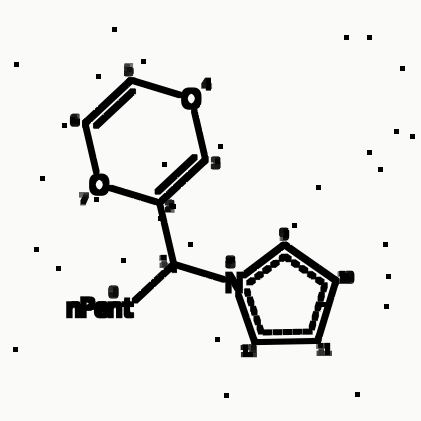 CCCCC[C](C1=COC=CO1)n1cccc1